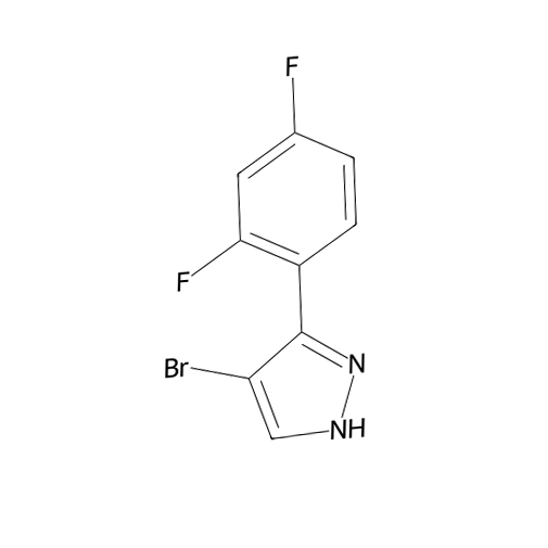 Fc1ccc(-c2n[nH]cc2Br)c(F)c1